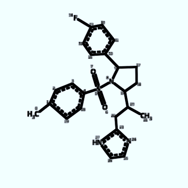 Cc1ccc(S(=O)(=O)N2C(c3ccc(F)cc3)CCC2C(C)Cc2ncc[nH]2)cc1